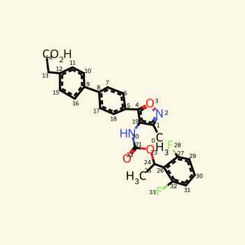 Cc1noc(-c2ccc(-c3ccc(CC(=O)O)cc3)cc2)c1NC(=O)OC(C)c1c(F)cccc1F